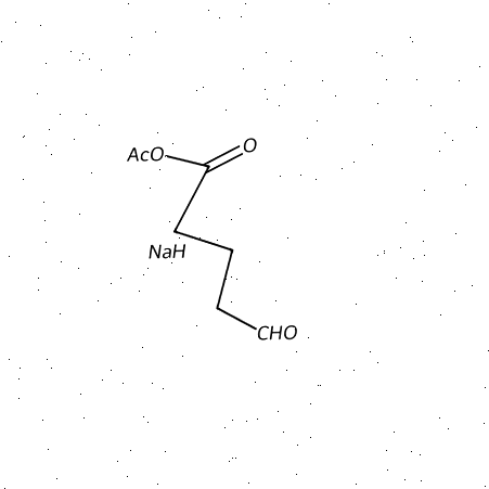 CC(=O)OC(=O)CCCC=O.[NaH]